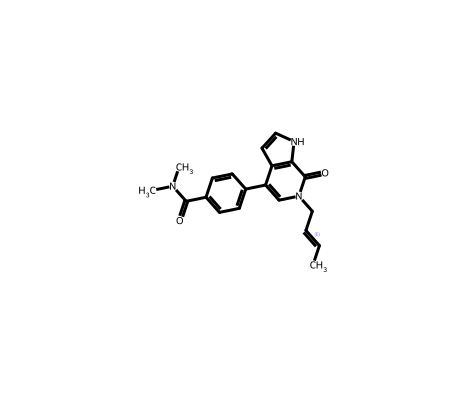 C/C=C/Cn1cc(-c2ccc(C(=O)N(C)C)cc2)c2cc[nH]c2c1=O